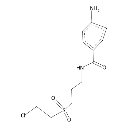 Nc1ccc(C(=O)NCCCS(=O)(=O)CCCl)cc1